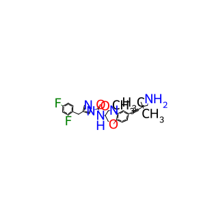 CN1C(=O)C(NC(=O)n2cc(Cc3ccc(F)cc3F)cn2)COc2ccc(C#CC(C)(C)CN)cc21